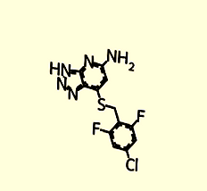 Nc1cc(SCc2c(F)cc(Cl)cc2F)c2nn[nH]c2n1